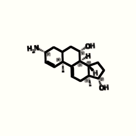 C[C@]12CC=C3[C@@H]([C@@H](O)CC4C[C@@H](N)C=C[C@]34C)[C@@H]1CC[C@@H]2O